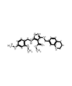 COC(=O)c1c(OCc2ccc3c(c2)OCCC3)nsc1NCc1ccc(OC)cc1OC